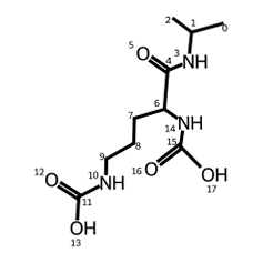 CC(C)NC(=O)C(CCCNC(=O)O)NC(=O)O